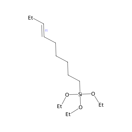 CC/C=C/CCCCC[Si](OCC)(OCC)OCC